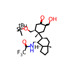 CC(C)(C)[Si](C)(C)OC[C@H]1CC(=O)/C(=C\O)C[C@]1(C)[C@H]1CC[C@]2(C)CCC[C@H]2[C@@H]1CNC(=O)C(F)(F)F